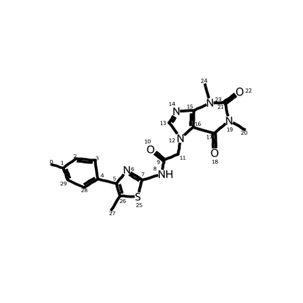 Cc1ccc(-c2nc(NC(=O)Cn3cnc4c3c(=O)n(C)c(=O)n4C)sc2C)cc1